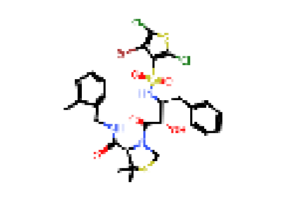 Cc1ccccc1CNC(=O)[C@H]1N(C(=O)[C@@H](O)[C@H](Cc2ccccc2)NS(=O)(=O)c2c(Cl)sc(Cl)c2Br)CSC1(C)C